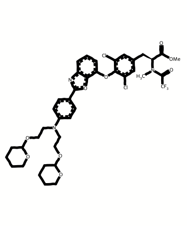 COC(=O)[C@H](Cc1cc(Cl)c(Oc2cccc3nc(-c4ccc(N(CCOC5CCCCO5)CCOC5CCCCO5)cc4)oc23)c(Cl)c1)N(C)C(=O)C(F)(F)F